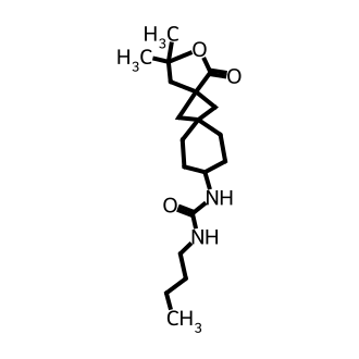 CCCCNC(=O)NC1CCC2(CC1)CC1(C2)CC(C)(C)OC1=O